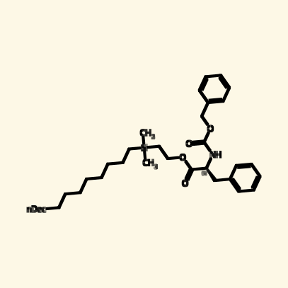 CCCCCCCCCCCCCCCCCC[Si](C)(C)CCOC(=O)[C@H](Cc1ccccc1)NC(=O)OCc1ccccc1